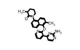 Cc1ccc2c(N3CCCC(C)C3=O)cccc2c1Oc1ncccc1-c1ccnc(N)n1